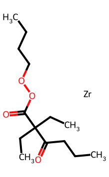 CCCCOOC(=O)C(CC)(CC)C(=O)CCC.[Zr]